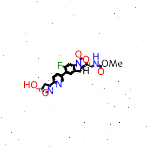 COC(=O)NC[C@@H]1OC(=O)N2c3cc(F)c(-c4ccc(C5=NO[C@H](CO)C5)nc4)cc3C[C@@H]12